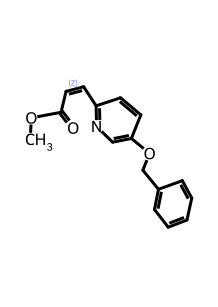 COC(=O)/C=C\c1ccc(OCc2ccccc2)cn1